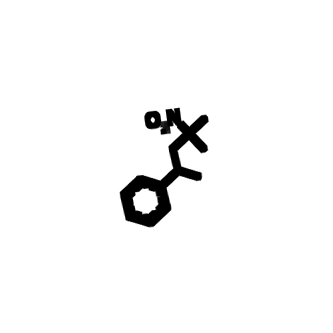 CC(CC(C)(C)[N+](=O)[O-])c1ccccc1